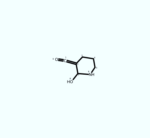 O=C=C1CCCNC1O